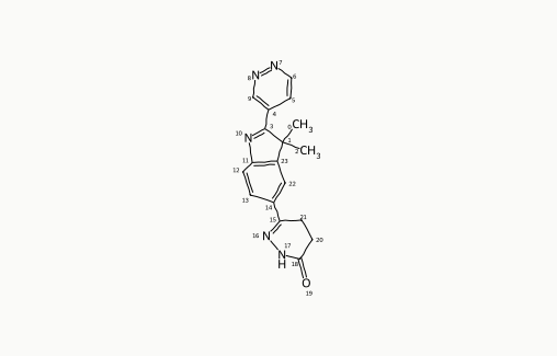 CC1(C)C(c2ccnnc2)=Nc2ccc(C3=NNC(=O)CC3)cc21